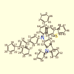 c1ccc(-c2ccc(N(c3ccc(-c4ccc(-c5ccccc5)c5ccccc45)cc3)c3cc4c(cc3-c3cccc5c3sc3ccccc35)c3ccccc3n4-c3ccccc3)cc2)cc1